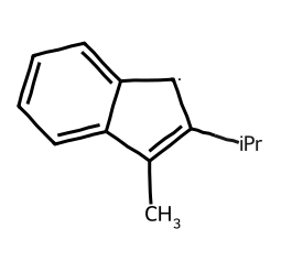 CC1=C(C(C)C)[CH]c2ccccc21